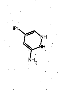 CC(C)C1=CNNC(N)=C1